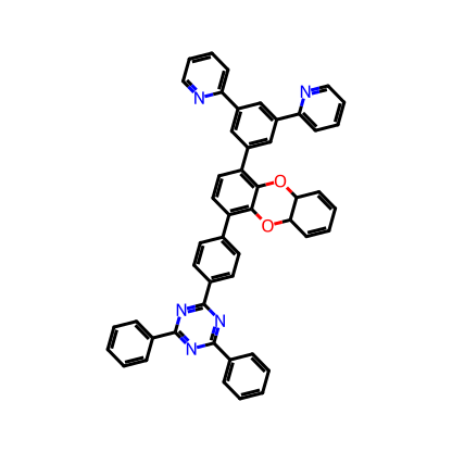 C1=CC2Oc3c(-c4ccc(-c5nc(-c6ccccc6)nc(-c6ccccc6)n5)cc4)ccc(-c4cc(-c5ccccn5)cc(-c5ccccn5)c4)c3OC2C=C1